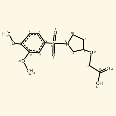 COc1ccc(S(=O)(=O)N2CCC(OCC(=O)O)C2)cc1OC